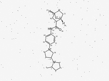 CC1CCCN1C1CCN(c2ccc(NC(=O)C3C[C@@H]4CC[C@H]3C4)cc2)C1